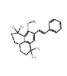 COc1c(C=Cc2ccccc2)cc2c3c1C(C)(C)CCN3CCC2(C)C